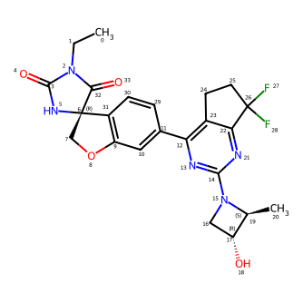 CCN1C(=O)N[C@]2(COc3cc(-c4nc(N5C[C@@H](O)[C@@H]5C)nc5c4CCC5(F)F)ccc32)C1=O